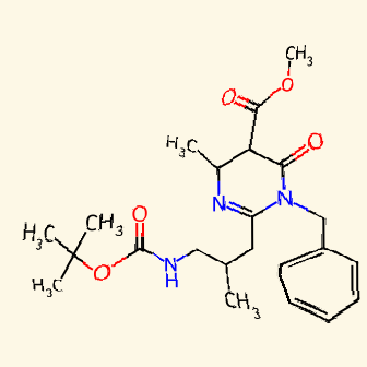 COC(=O)C1C(=O)N(Cc2ccccc2)C(CC(C)CNC(=O)OC(C)(C)C)=NC1C